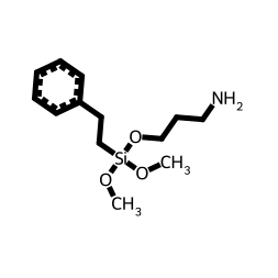 CO[Si](CCc1ccccc1)(OC)OCCCN